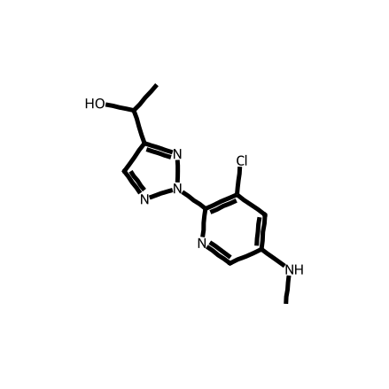 CNc1cnc(-n2ncc(C(C)O)n2)c(Cl)c1